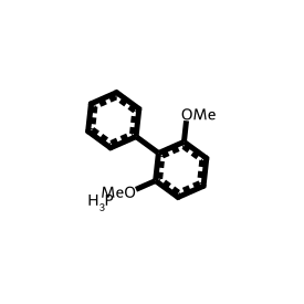 COc1cccc(OC)c1-c1ccccc1.P